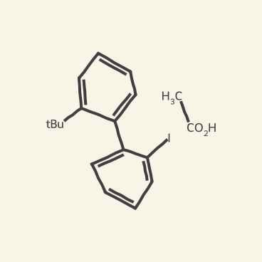 CC(=O)O.CC(C)(C)c1ccccc1-c1ccccc1I